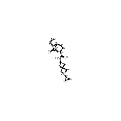 O=C(NC1CC2(C1)CN(C1CC1)C2)C1CCC2CN1C(=O)N2OS